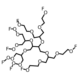 FOCCOCC(COCCOF)OCC(OC(COCCOF)COCCOF)C(COC(COOF)COOF)OC(COOF)COOF